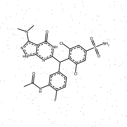 CC(=O)Nc1cc(C(c2nc3[nH]nc(N(C)C)c3c(=O)[nH]2)c2c(Cl)cc(S(N)(=O)=O)cc2Cl)ccc1F